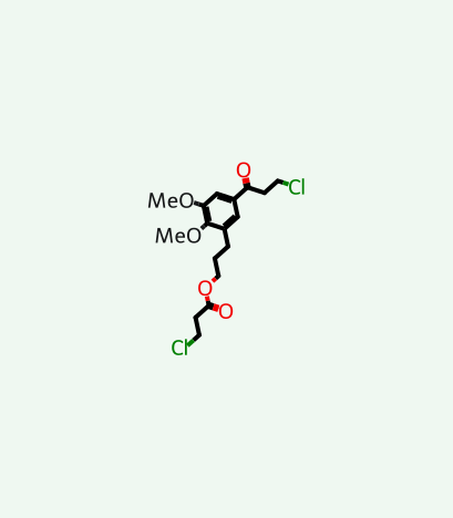 COc1cc(C(=O)CCCl)cc(CCCOC(=O)CCCl)c1OC